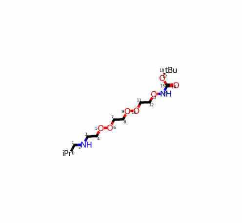 CC(C)CNCCOOCCOOCCONC(=O)OC(C)(C)C